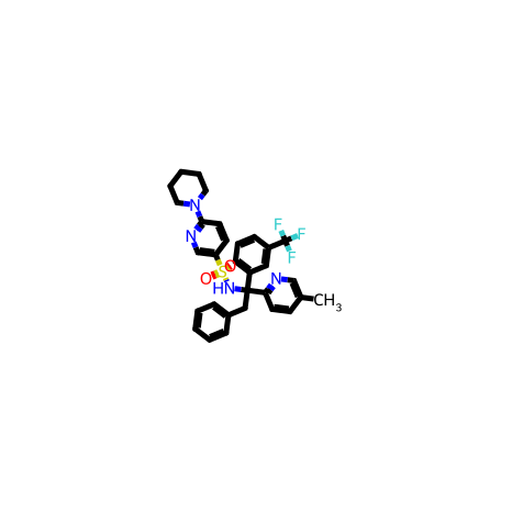 Cc1ccc(C(Cc2ccccc2)(NS(=O)(=O)c2ccc(N3CCCCC3)nc2)c2cccc(C(F)(F)F)c2)nc1